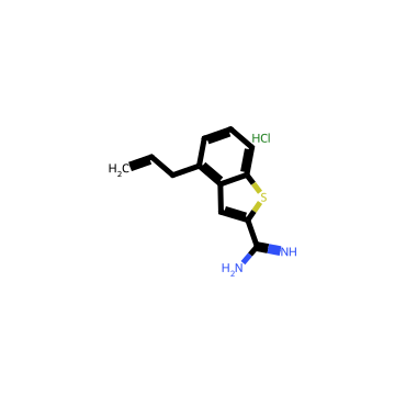 C=CCc1cccc2sc(C(=N)N)cc12.Cl